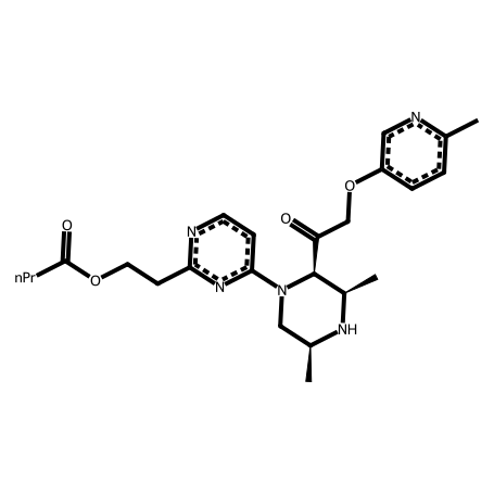 CCCC(=O)OCCc1nccc(N2C[C@H](C)N[C@H](C)[C@@H]2C(=O)COc2ccc(C)nc2)n1